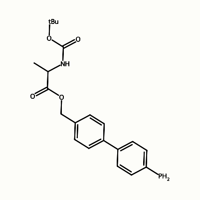 CC(NC(=O)OC(C)(C)C)C(=O)OCc1ccc(-c2ccc(P)cc2)cc1